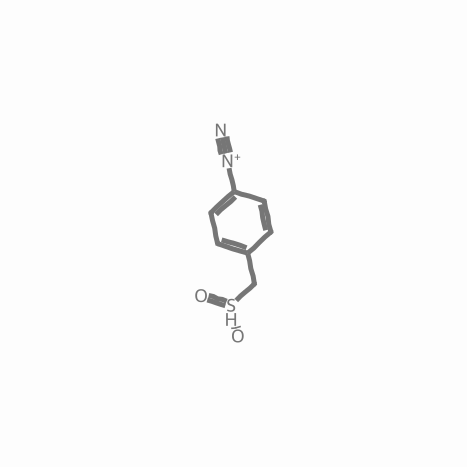 N#[N+]c1ccc(C[SH](=O)=O)cc1